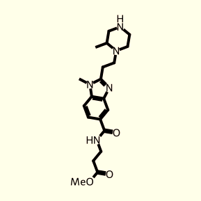 COC(=O)CCNC(=O)c1ccc2c(c1)nc(CCN1CCNCC1C)n2C